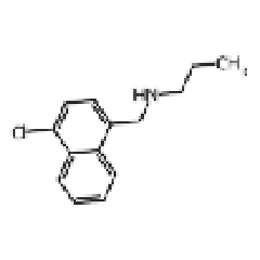 CCCNCc1ccc(Cl)c2ccccc12